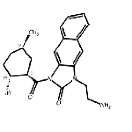 CC(C)[C@@H]1CC[C@@H](C)C[C@H]1C(=O)n1c(=O)n(CCN)c2cc3ccccc3cc21